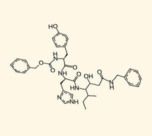 CCC(C)C(NC(=O)[C@@H](Cc1c[nH]cn1)NC(=O)[C@H](Cc1ccc(O)cc1)NC(=O)OCc1ccccc1)C(O)CC(=O)NCc1ccccc1